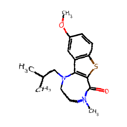 COc1ccc2sc3c(c2c1)N(CC(C)C)CCN(C)C3=O